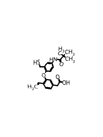 C=Cc1ccc(CC(=O)O)cc1Oc1ccc(NC(=O)C(C)(C)C)cc1CS